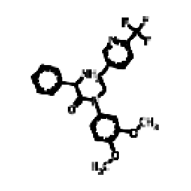 COc1ccc(N(CCc2ccc(C(F)(F)F)nc2)C(=O)C(N)c2ccccc2)cc1OC